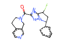 O=C(c1nc2n(n1)C(c1ccccc1)CC2F)N1CCc2ccncc2C1